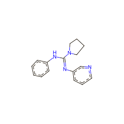 c1ccc(NC(=Nc2cccnc2)N2CCCC2)cc1